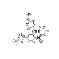 CCOc1ncc(Nc2cc([C@H](CC)CC(C)(C)O)ccc2N(CC)C2CCOCC2)cn1